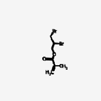 C=C(C)C(=O)OCC(Br)CBr